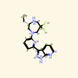 CC(C)C[C@H]1CN(c2cccc(-c3n[nH]c4ncccc34)n2)CC(F)(F)CN1